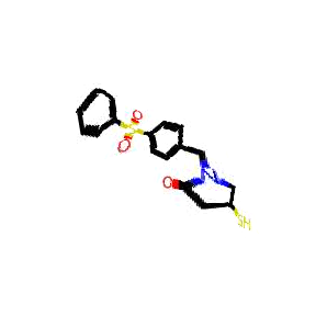 O=C1CC(S)CN1Cc1ccc(S(=O)(=O)c2ccccc2)cc1